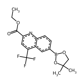 CCOC(=O)c1cc(C(F)(F)F)c2cc(B3OCC(C)(C)O3)ccc2n1